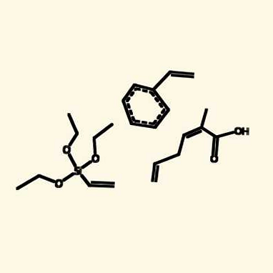 C=CCC=C(C)C(=O)O.C=C[Si](OCC)(OCC)OCC.C=Cc1ccccc1